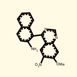 COc1cc2ncnc(-c3c(N)ccc4ccccc34)c2cc1[N+](=O)[O-]